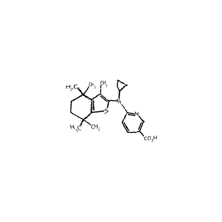 Cc1c(N(c2ccc(C(=O)O)cn2)C2CC2)sc2c1C(C)(C)CCC2(C)C